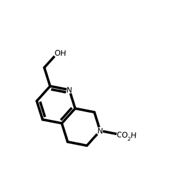 O=C(O)N1CCc2ccc(CO)nc2C1